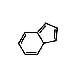 [C]1=C2C=CC=CC2C=C1